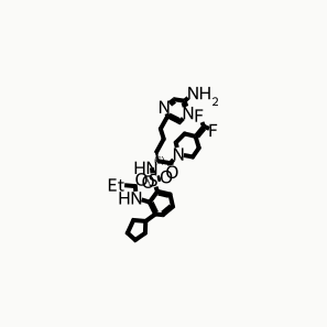 CCC(=O)Nc1c(C2CCCC2)cccc1S(=O)(=O)N[C@@H](CCCc1cnc(N)cn1)C(=O)N1CCC(=C(F)F)CC1